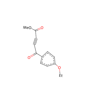 CCOc1ccc(C(=O)C#CC(=O)OC)cc1